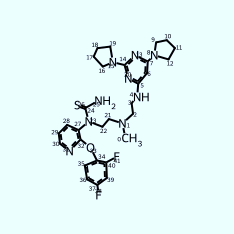 CN(CCNc1cc(N2CCCC2)nc(N2CCCC2)n1)CCN(C(N)=S)c1cccnc1Oc1ccc(F)cc1F